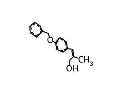 CC(=Cc1ccc(OCc2ccccc2)cc1)CO